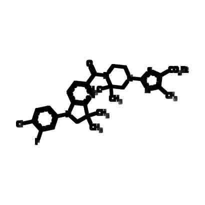 CCOC(=O)c1sc(N2CCN(C(=O)c3ccc4c(n3)C(C)(C)CN4c3ccc(Cl)c(F)c3)C(C)(C)C2)nc1C(F)(F)F